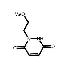 COCCn1[nH]c(=O)ccc1=O